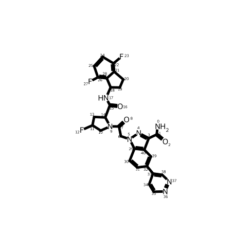 NC(=O)c1nn(CC(=O)N2CC(F)CC2C(=O)NC2CCc3c(F)ccc(F)c32)c2ccc(-c3ccnnc3)cc12